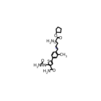 Cc1cc(-c2cc(C(N)=O)c(NC(N)=O)s2)ccc1/C=C/C[C@H](N)C(=O)OC1CCCC1